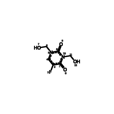 O=c1c(F)cn(CO)c(=O)n1CO